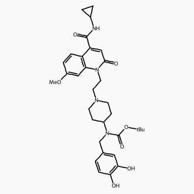 COc1ccc2c(C(=O)NC3CC3)cc(=O)n(CCN3CCC(N(Cc4ccc(O)c(O)c4)C(=O)OC(C)(C)C)CC3)c2c1